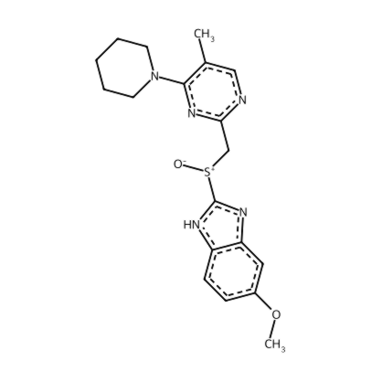 COc1ccc2[nH]c([S+]([O-])Cc3ncc(C)c(N4CCCCC4)n3)nc2c1